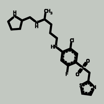 CC(CCCNc1cc(F)c(S(=O)(=O)Cc2nccs2)cc1Cl)NCC1CCCN1